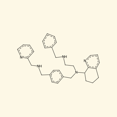 c1ccc(CNCCN(Cc2ccc(CNCc3ccccn3)cc2)C2CCCc3cccnc32)cc1